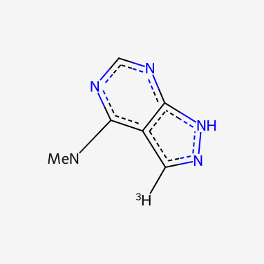 [3H]c1n[nH]c2ncnc(NC)c12